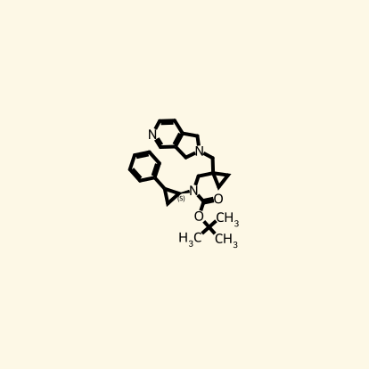 CC(C)(C)OC(=O)N(CC1(CN2Cc3ccncc3C2)CC1)[C@H]1CC1c1ccccc1